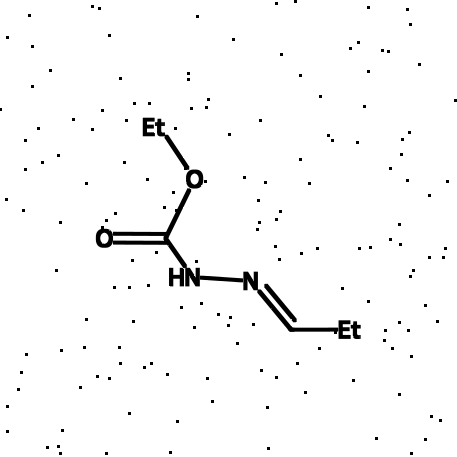 CCC=NNC(=O)OCC